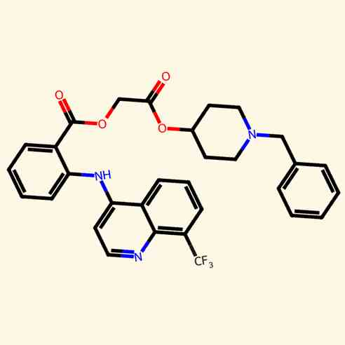 O=C(COC(=O)c1ccccc1Nc1ccnc2c(C(F)(F)F)cccc12)OC1CCN(Cc2ccccc2)CC1